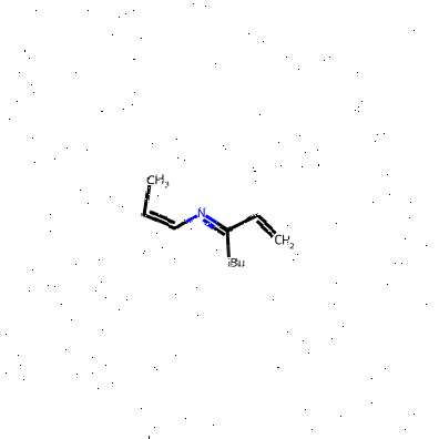 C=C/C(=N/C=C\C)C(C)CC